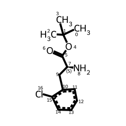 CC(C)(C)OC(=O)[C@@H](N)Cc1ccccc1Cl